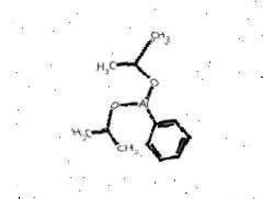 CC(C)[O][Al]([O]C(C)C)[c]1ccccc1